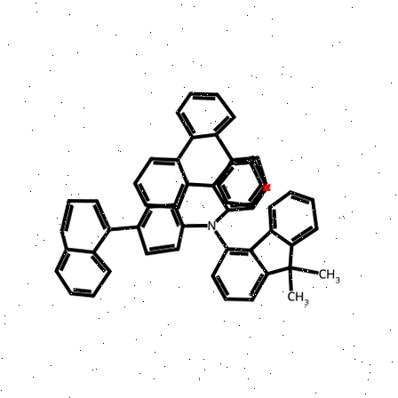 CC1(C)c2ccccc2-c2c(N(c3ccc(-c4cccc5ccccc45)cc3)c3ccccc3-c3ccccc3-c3ccccc3-c3ccccc3)cccc21